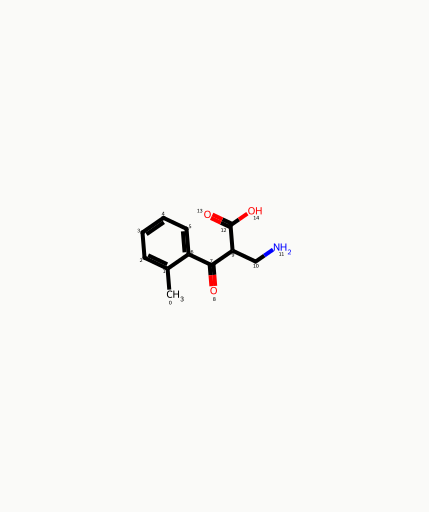 Cc1ccccc1C(=O)C(CN)C(=O)O